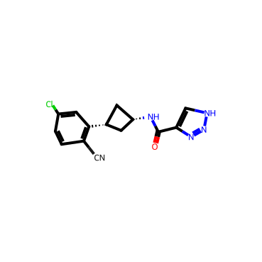 N#Cc1ccc(Cl)cc1[C@H]1C[C@@H](NC(=O)c2c[nH]nn2)C1